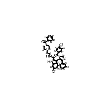 O=C(NCCN1CCN(C(=O)c2cccnc2)CC1)c1[nH]c2cc(Cl)ccc2c1-c1c(-c2ccccc2)ncn1Cc1ccc(Cl)cc1